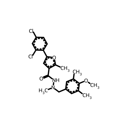 COc1c(C)cc(CN(C)NC(=O)c2cc(-c3ccc(Cl)cc3Cl)oc2C)cc1C